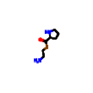 NCCSC(=O)C1CCCN1